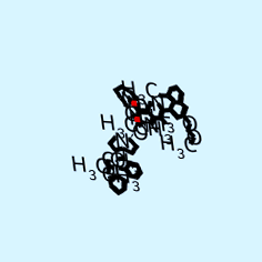 CCc1cccc2cc(OCOC)cc(-c3ncc4c(N5CC6CCC(C5)N6C(=O)OC(C)(C)C)nc(OC[C@@H]5CC[C@]6(CO[Si](c7ccccc7)(c7ccccc7)C(C)(C)C)CCCN56)nc4c3F)c12